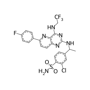 CC(Nc1nc(NCC(F)(F)F)c2nc(-c3ccc(F)cc3)ccc2n1)c1ccc(S(N)(=O)=O)c(Cl)c1